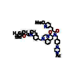 COc1ccc(C=CC(=O)N(Cc2ccc(N3CCN(C(C)=O)CC3)cc2)[C@@H](Cc2ccccc2)C(=O)N2CCN(Cc3ccc(N(C)CCO[Si](C)(C)C(C)(C)C)cc3)CC2)cn1